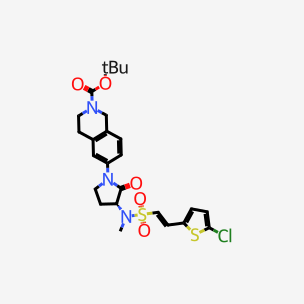 CN([C@H]1CCN(c2ccc3c(c2)CCN(C(=O)OC(C)(C)C)C3)C1=O)S(=O)(=O)/C=C/c1ccc(Cl)s1